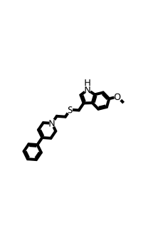 COc1ccc2c(CSCCN3CC=C(c4ccccc4)CC3)c[nH]c2c1